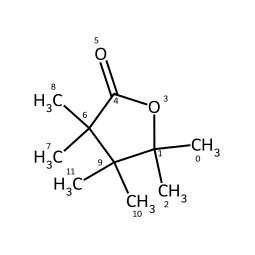 CC1(C)OC(=O)C(C)(C)C1(C)C